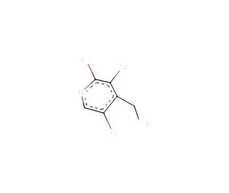 CCc1c(Br)cnc(O)c1N